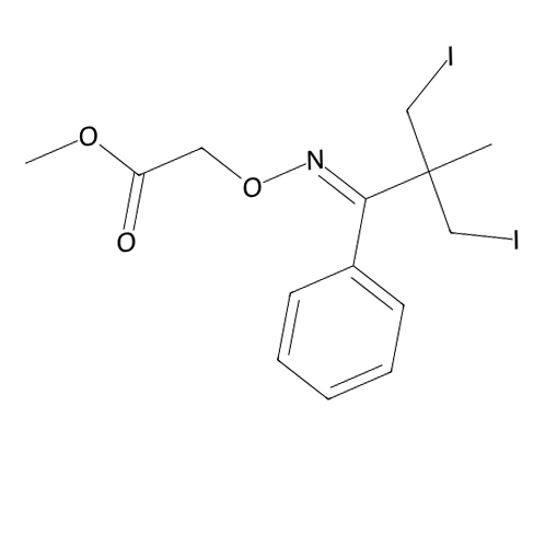 COC(=O)CO/N=C(\c1ccccc1)C(C)(CI)CI